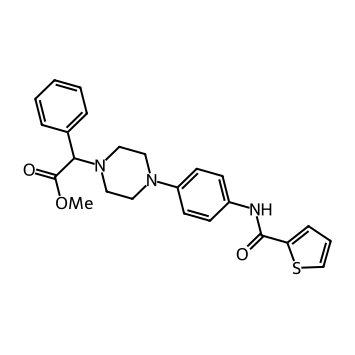 COC(=O)C(c1ccccc1)N1CCN(c2ccc(NC(=O)c3cccs3)cc2)CC1